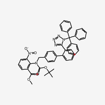 COC(=O)c1cccc([N+](=O)[O-])c1N(Cc1ccc(-c2ccccc2-c2nnnn2C(c2ccccc2)(c2ccccc2)c2ccccc2)cc1)C(=O)OC(C)(C)C